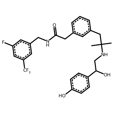 CC(C)(Cc1cccc(CC(=O)NCc2cc(F)cc(C(F)(F)F)c2)c1)NCC(O)c1ccc(O)cc1